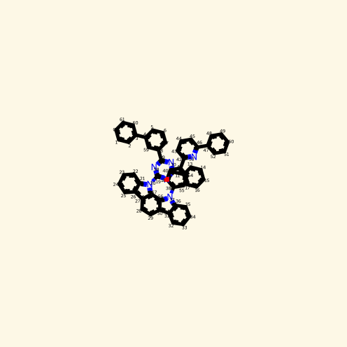 c1ccc(-c2cccc(-c3nc(-c4ccccc4)nc(-n4c5ccccc5c5ccc6c7ccccc7n(-c7ccc(-c8cccc(-c9ccccc9)n8)cc7)c6c54)n3)c2)cc1